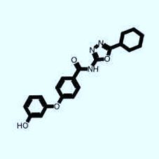 O=C(Nc1nnc(C2CCCCC2)o1)c1ccc(Oc2cccc(O)c2)cc1